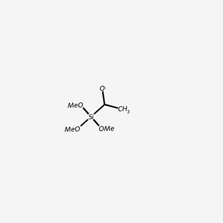 CO[Si](OC)(OC)C(C)[O]